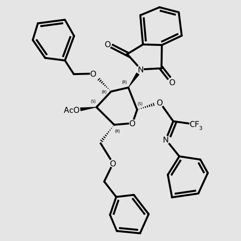 CC(=O)O[C@H]1[C@H](OCc2ccccc2)[C@@H](N2C(=O)c3ccccc3C2=O)[C@H](OC(=Nc2ccccc2)C(F)(F)F)O[C@@H]1COCc1ccccc1